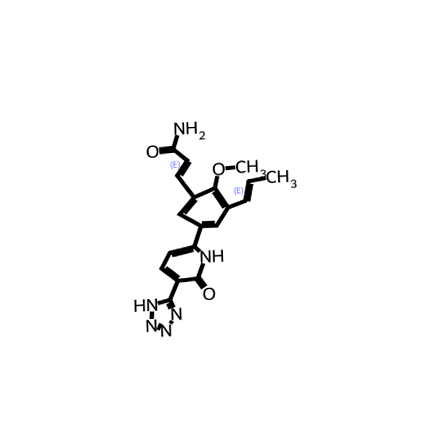 C/C=C/c1cc(-c2ccc(-c3nnn[nH]3)c(=O)[nH]2)cc(/C=C/C(N)=O)c1OC